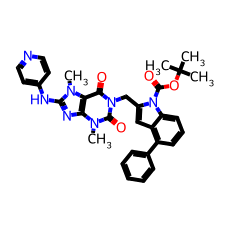 Cn1c(Nc2ccncc2)nc2c1c(=O)n(Cc1cc3c(-c4ccccc4)cccc3n1C(=O)OC(C)(C)C)c(=O)n2C